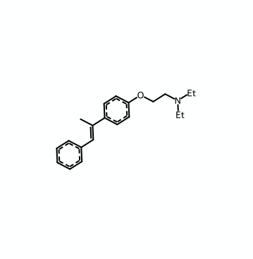 CCN(CC)CCOc1ccc(C(C)=Cc2ccccc2)cc1